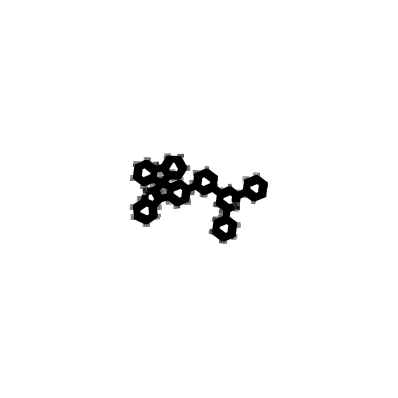 c1ccc(-c2cc(-c3cccc(-c4ccc5c(c4)C4(c6ccccc6-c6ccccc64)c4sc6ccccc6c4-5)c3)cc(-c3ccccc3)n2)cc1